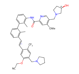 COc1cc(C(=O)Nc2cccc(-c3cccc(/C=C/c4cc(OCC#N)c(CN5CCCC5)cc4C(F)(F)F)c3C)c2C)ncc1CN1CC[C@@H](O)C1